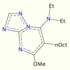 CCCCCCCCc1c(OC)nc2ncnn2c1N(CC)CC